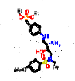 CCOP(=O)(Cc1ccc(NC[C@H](N)[C@H](O)CN(CC(C)C)S(=O)(=O)c2ccc(OC)cc2)cc1)OCC